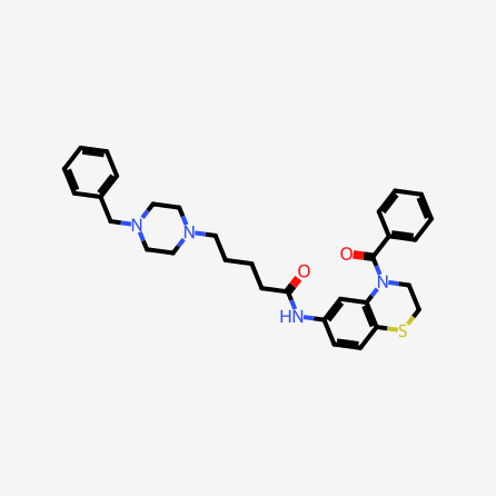 O=C(CCCCN1CCN(Cc2ccccc2)CC1)Nc1ccc2c(c1)N(C(=O)c1ccccc1)CCS2